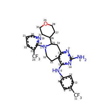 Nc1nc2c(c(Nc3ccc(C(F)(F)F)cc3)n1)CCN(c1ncccc1C(F)(F)F)C(C1CCOCC1)C2